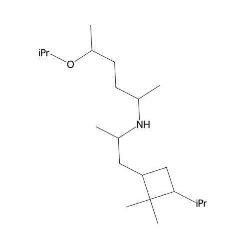 CC(CCC(C)OC(C)C)NC(C)CC1CC(C(C)C)C1(C)C